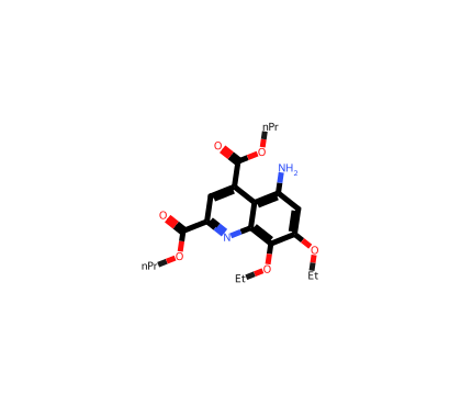 CCCOC(=O)c1cc(C(=O)OCCC)c2c(N)cc(OCC)c(OCC)c2n1